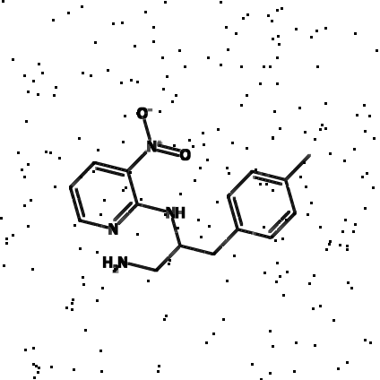 Cc1ccc(CC(CN)Nc2ncccc2[N+](=O)[O-])cc1